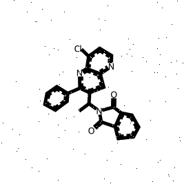 CC(c1cc2nccc(Cl)c2nc1-c1ccccc1)N1C(=O)c2ccccc2C1=O